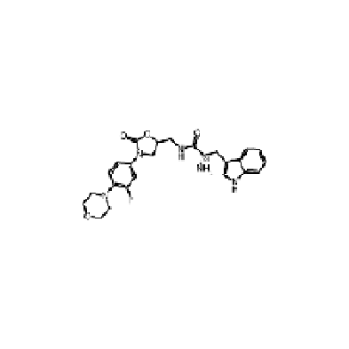 N[C@@H](Cc1c[nH]c2ccccc12)C(=O)NCC1CN(c2ccc(N3CCOCC3)c(F)c2)C(=O)O1